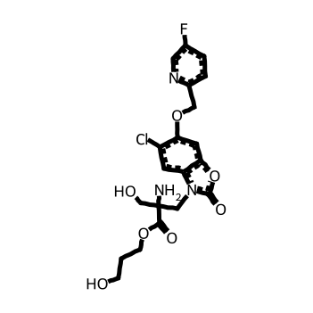 NC(CO)(Cn1c(=O)oc2cc(OCc3ccc(F)cn3)c(Cl)cc21)C(=O)OCCCO